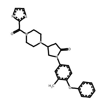 Cc1cc(N2CC(N3CCN(C(=O)c4nccs4)CC3)CC2=O)ccc1Oc1ccccc1